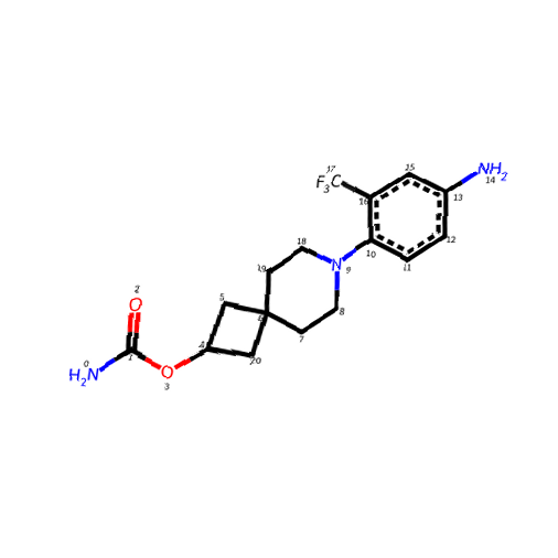 NC(=O)OC1CC2(CCN(c3ccc(N)cc3C(F)(F)F)CC2)C1